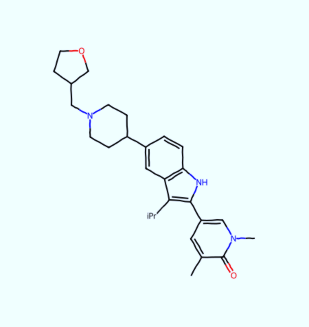 Cc1cc(-c2[nH]c3ccc(C4CCN(CC5CCOC5)CC4)cc3c2C(C)C)cn(C)c1=O